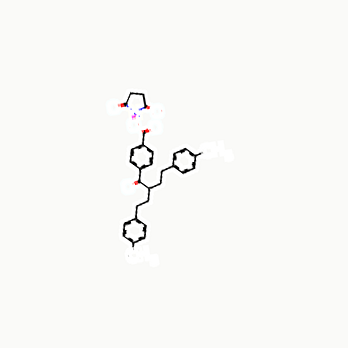 Cc1ccc(CCC(CCc2ccc(C)cc2)C(=O)c2ccc(C(=O)ON3C(=O)CCC3=O)cc2)cc1